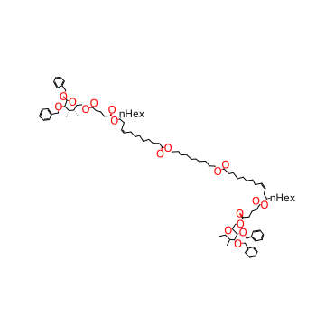 CCCCCC[C@H](C/C=C\CCCCCCCC(=O)OCCCCCCCCCCOC(=O)CCCCCCC/C=C\C[C@@H](CCCCCC)OC(=O)CCCC(=O)OCC1OC(C)C(C)[C@@H](OCc2ccccc2)[C@H]1OCc1ccccc1)OC(=O)CCCC(=O)OCC1OC(OCc2ccccc2)C(OCc2ccccc2)[C@@H](C)[C@H]1C